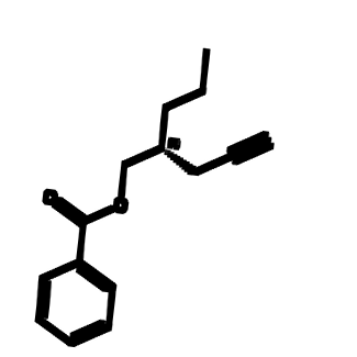 C#CC[C@@H](CCC)COC(=O)c1ccccc1